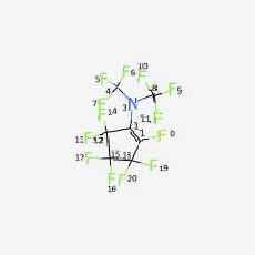 FC1=C(N(C(F)(F)F)C(F)(F)F)C(F)(F)C(F)(F)C1(F)F